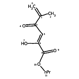 C=C(C)C(=O)C=C(O)C(=O)OCCC